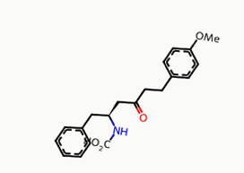 COc1ccc(CCC(=O)C[C@H](Cc2ccccc2)NC(=O)O)cc1